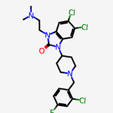 CN(C)CCn1c(=O)n(C2CCN(Cc3ccc(F)cc3Cl)CC2)c2cc(Cl)c(Cl)cc21